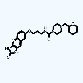 O=C(NCCCOc1ccc2nc3[nH]c(=O)[nH]c3cc2c1)N1CCN(CC2CCCCO2)CC1